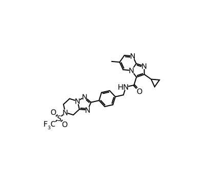 Cc1cnc2nc(C3CC3)c(C(=O)NCc3ccc(-c4nc5n(n4)CCN(S(=O)(=O)C(F)(F)F)C5)cc3)n2c1